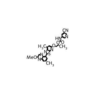 COc1cnc2c(-c3nc4c(C)cc(OC[C@@H](C)OC(=O)Nc5cncc(C#N)c5)nc4s3)cc(C)cc2n1